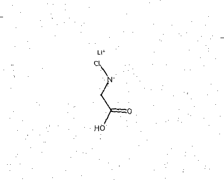 O=C(O)C[N-]Cl.[Li+]